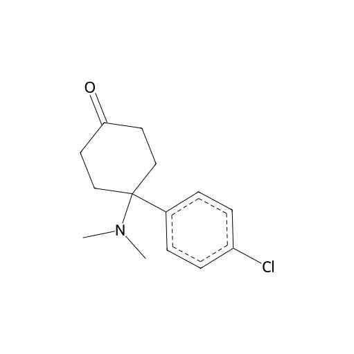 CN(C)C1(c2ccc(Cl)cc2)CCC(=O)CC1